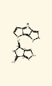 C1=[C]2[GeH]=[c]3ccsc3=C2SC1.O=C1NC(=O)c2cscc21